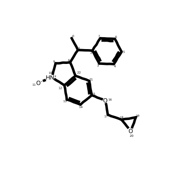 CC(c1ccccc1)C1C[NH+]([O-])c2ccc(OCC3CO3)cc21